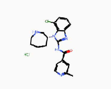 Cc1cc(C(=O)Nc2nc3cccc(Cl)c3n2[C@@H]2CCCCNC2)ccn1.Cl